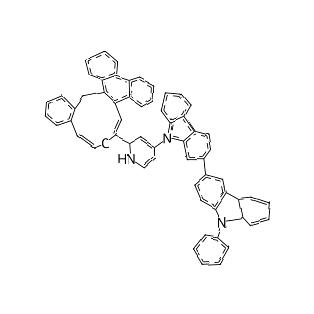 C1=CC2c3cc(-c4ccc5c6ccccc6n(C6=CC(/C7=C/c8c(c9ccccc9c9ccccc89)Cc8ccccc8/C=C\C7)NC=C6)c5c4)ccc3N(c3ccccc3)C2C=C1